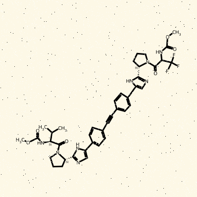 COC(=O)NC(C(=O)N1CCC[C@H]1c1ncc(-c2ccc(C#Cc3ccc(-c4cnc([C@@H]5CCCN5C(=O)[C@@H](NC(=O)OC)C(C)C)[nH]4)cc3)cc2)[nH]1)C(F)(F)F